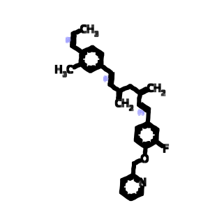 C=C(/C=C/c1ccc(/C=C\C)c(C)c1)CC(=C)/C=C/c1ccc(OCc2ccccn2)c(F)c1